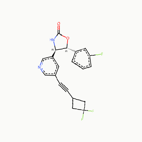 O=C1N[C@H](c2cncc(C#CC3CC(F)(F)C3)c2)[C@@H](c2cccc(F)c2)O1